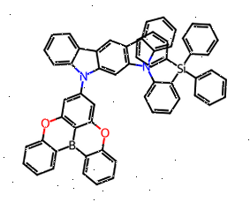 c1ccc([Si](c2ccccc2)(c2ccccc2)c2ccccc2-n2c3ccccc3c3cc4c5ccccc5n(-c5cc6c7c(c5)Oc5ccccc5B7c5ccccc5O6)c4cc32)cc1